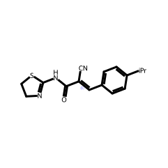 CC(C)c1ccc(/C=C(\C#N)C(=O)NC2=NCCS2)cc1